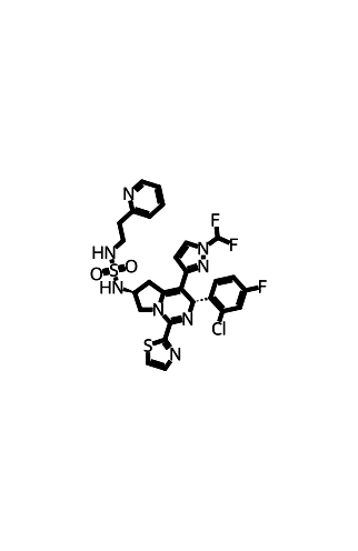 O=S(=O)(NCCc1ccccn1)N[C@H]1CC2=C(c3ccn(C(F)F)n3)[C@H](c3ccc(F)cc3Cl)N=C(c3nccs3)N2C1